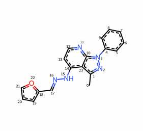 Cc1nn(-c2ccccc2)c2nccc(NN=Cc3ccco3)c12